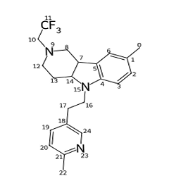 Cc1ccc2c(c1)C1CN(CC(F)(F)F)CCC1N2CCc1ccc(C)nc1